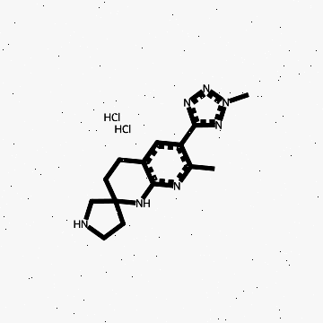 Cc1nc2c(cc1-c1nnn(C)n1)CCC1(CCNC1)N2.Cl.Cl